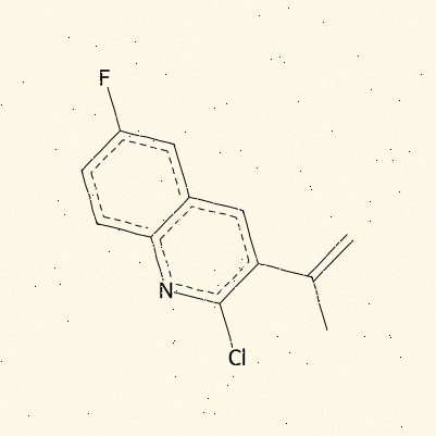 C=C(C)c1cc2cc(F)ccc2nc1Cl